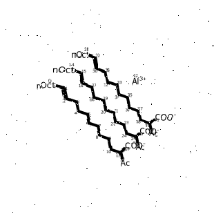 CCCCCCCC/C=C/CCCCCCCCC(C(C)=O)C(=O)[O-].CCCCCCCC/C=C/CCCCCCCCC(C(C)=O)C(=O)[O-].CCCCCCCC/C=C/CCCCCCCCC(C(C)=O)C(=O)[O-].[Al+3]